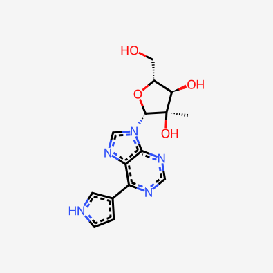 C[C@@]1(O)[C@H](O)[C@@H](CO)O[C@H]1n1cnc2c(-c3cc[nH]c3)ncnc21